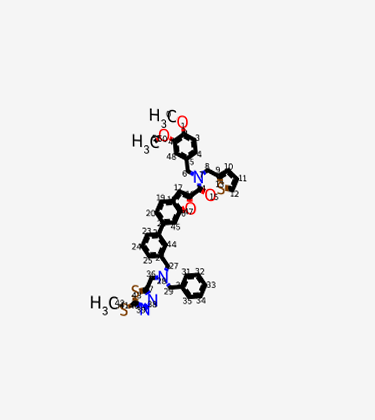 COc1ccc(CN(Cc2cccs2)C(=O)c2cc3ccc(-c4cccc(CN(Cc5ccccc5)Cc5nnc(SC)s5)c4)cc3o2)cc1OC